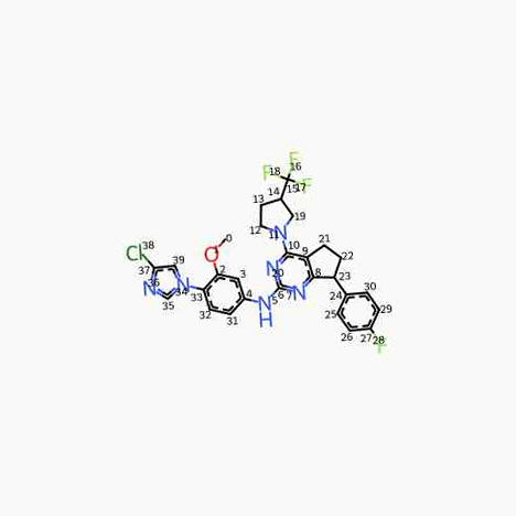 COc1cc(Nc2nc3c(c(N4CCC(C(F)(F)F)C4)n2)CCC3c2ccc(F)cc2)ccc1-n1cnc(Cl)c1